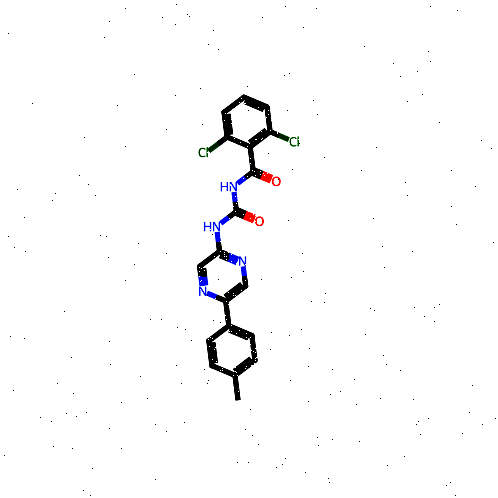 Cc1ccc(-c2cnc(NC(=O)NC(=O)c3c(Cl)cccc3Cl)cn2)cc1